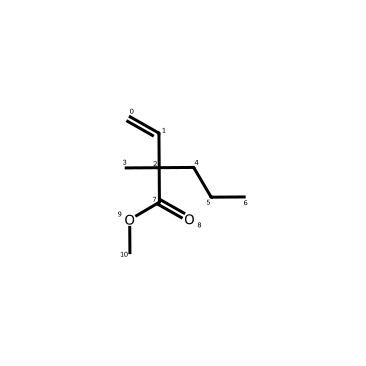 C=CC(C)(CCC)C(=O)OC